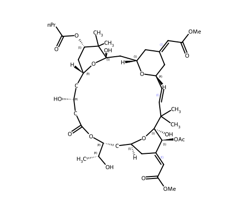 CCCC(=O)O[C@H]1C[C@H]2C[C@@H](O)CC(=O)O[C@@H]([C@@H](C)O)C[C@@H]3C/C(=C\C(=O)OC)[C@H](OC(C)=O)[C@@](O)(O3)C(C)(C)/C=C/[C@H]3C/C(=C\C(=O)OC)C[C@@H](C[C@](O)(O2)C1(C)C)O3